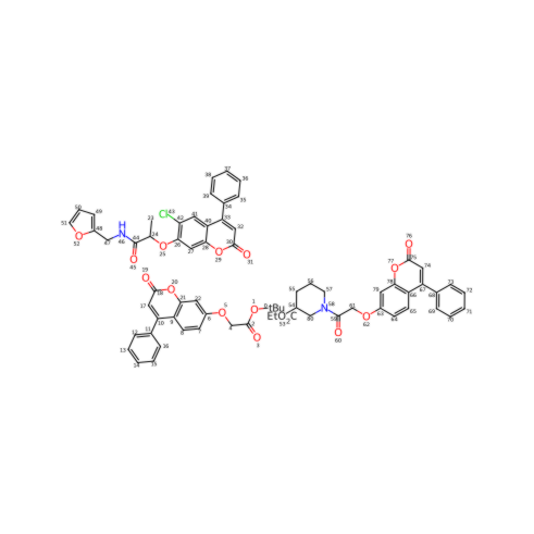 CC(C)(C)OC(=O)COc1ccc2c(-c3ccccc3)cc(=O)oc2c1.CC(Oc1cc2oc(=O)cc(-c3ccccc3)c2cc1Cl)C(=O)NCc1ccco1.CCOC(=O)C1CCCN(C(=O)COc2ccc3c(-c4ccccc4)cc(=O)oc3c2)C1